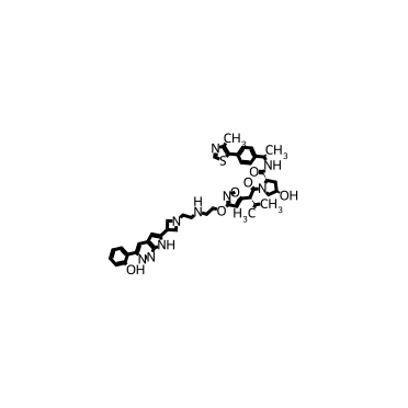 Cc1ncsc1-c1ccc([C@H](C)NC(=O)[C@@H]2C[C@@H](O)CN2C(=O)[C@@H](c2cc(OCCNCCN3CC(c4cc5cc(-c6ccccc6O)nnc5[nH]4)C3)no2)C(C)C)cc1